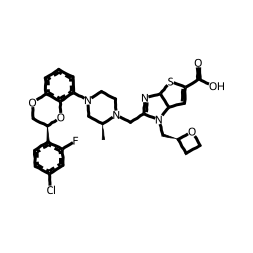 C[C@H]1CN(c2cccc3c2O[C@@H](c2ccc(Cl)cc2F)CO3)CCN1CC1=NC2SC(C(=O)O)=CC2N1C[C@@H]1CCO1